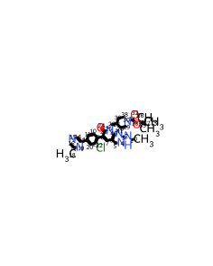 CCNc1ncc2cc(-c3ccc(-c4cncc(C)n4)cc3Cl)c(=O)n(CC3CCN(C(=O)OC(C)(C)C)CC3)c2n1